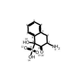 NC1Cc2ccccc2C(O)(S(=O)(=O)O)C1=O